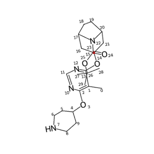 Cc1c(OC2CCNCC2)ncnc1OC1CC2CCC(C1)N2C(=O)OC(C)(C)C